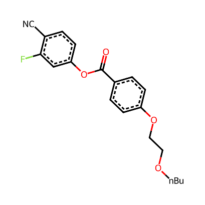 CCCCOCCOc1ccc(C(=O)Oc2ccc(C#N)c(F)c2)cc1